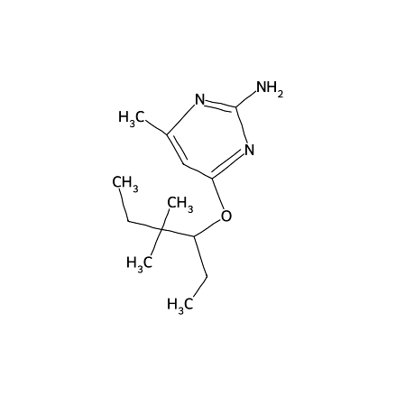 CCC(Oc1cc(C)nc(N)n1)C(C)(C)CC